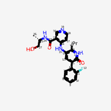 CC(C)c1[nH]c(=O)c(-c2ccccc2F)cc1Nc1ccncc1C(=O)N[C@@H](C)CO